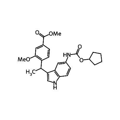 COC(=O)c1ccc(C(C)c2c[nH]c3ccc(NC(=O)OC4CCCC4)cc23)c(OC)c1